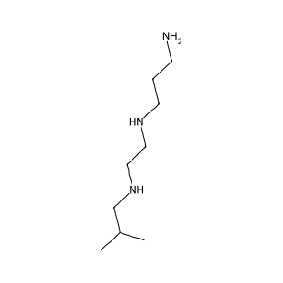 CC(C)CNCCNCCCN